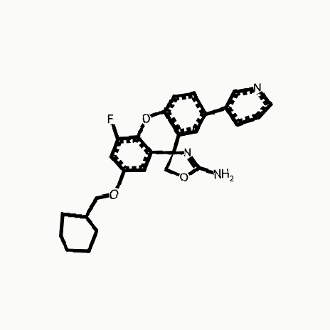 NC1=N[C@@]2(CO1)c1cc(-c3cccnc3)ccc1Oc1c(F)cc(OCC3CCCCC3)cc12